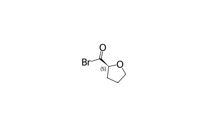 O=C(Br)[C@@H]1CCCO1